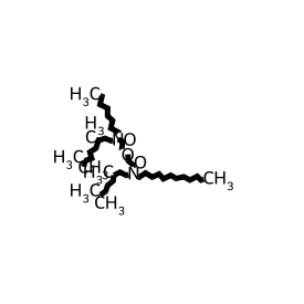 CCCCCCCCCCCCN(CCC(C)CCCC(C)C)C(=O)COCC(=O)N(CCCCCCCC)CCC(C)CCCC(C)C